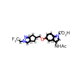 CC(=O)Nc1cn(C(=O)O)c2ccc(OCC3Cc4cn(CC(F)(F)F)nc4C3)cc12